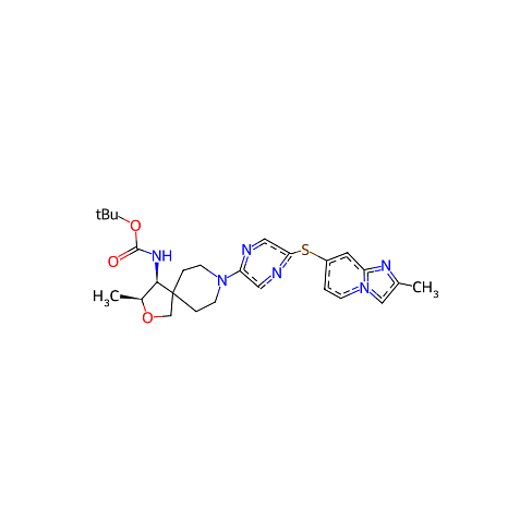 Cc1cn2ccc(Sc3cnc(N4CCC5(CC4)CO[C@@H](C)[C@H]5NC(=O)OC(C)(C)C)cn3)cc2n1